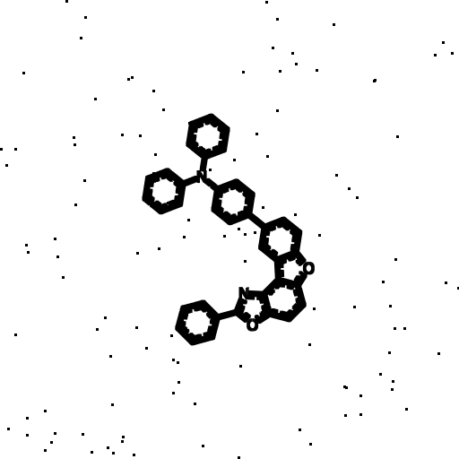 c1ccc(-c2nc3c(ccc4oc5ccc(-c6ccc(N(c7ccccc7)c7ccccc7)cc6)cc5c43)o2)cc1